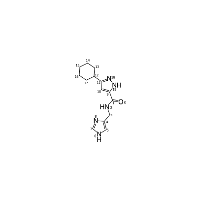 O=C(NCc1c[nH]cn1)c1cc(C2CCCCC2)n[nH]1